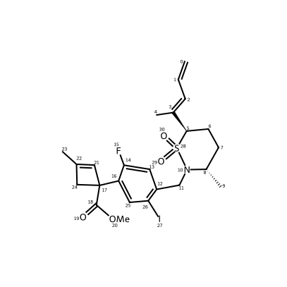 C=C/C=C(\C)[C@H]1CC[C@H](C)N(Cc2cc(F)c(C3(C(=O)OC)C=C(C)C3)cc2I)S1(=O)=O